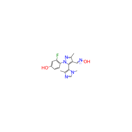 Cc1nn(-c2ccc(O)cc2F)c(-c2c(C)ncn2C)c1/C=N/O